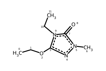 CCOc1nn(C)c(=O)n1CC